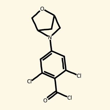 O=C(Cl)c1c(Cl)cc(N2CC3CC2CO3)cc1Cl